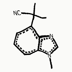 Cn1cnc2c(C(C)(C)C#N)cccc21